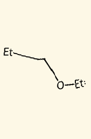 C[C]OCCC